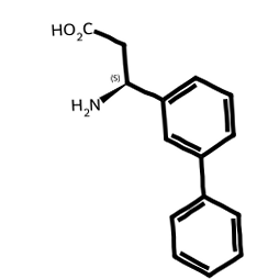 N[C@@H](CC(=O)O)c1cccc(-c2ccccc2)c1